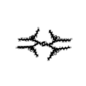 CCCCCCCCCCC(CCCCCCCC)(CCCCN(CCCCC(CCCCCCCC)(CCCCCCCCCC)C(=O)O)CCN1CCN(CCN(CCCCC(CCCCCCCC)(CCCCCCCCCC)C(=O)O)CCCCC(CCCCCCCC)(CCCCCCCCCC)C(=O)O)CC1)C(=O)O